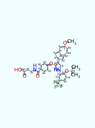 COC1=CC2=CC=C(c3cn(-c4cc(C(F)(F)F)ccc4OC(C)C)nc3Oc3ccc(C(=O)NCCC(=O)O)cc3)C=C(C=C1)C2